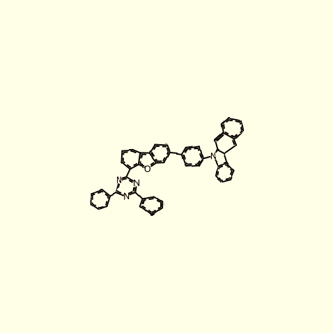 C1=c2ccccc2=CC2C1c1ccccc1N2c1ccc(-c2ccc3c(c2)oc2c(-c4nc(-c5ccccc5)nc(-c5ccccc5)n4)cccc23)cc1